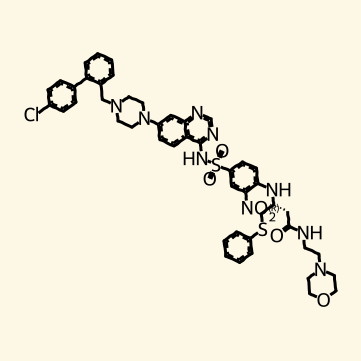 O=C(C[C@H](CSc1ccccc1)Nc1ccc(S(=O)(=O)Nc2ncnc3cc(N4CCN(Cc5ccccc5-c5ccc(Cl)cc5)CC4)ccc23)cc1[N+](=O)[O-])NCCN1CCOCC1